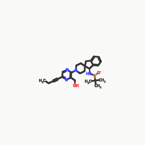 CCC#Cc1cnc(N2CCC3(CC2)Cc2ccccc2[C@H]3N[S+]([O-])C(C)(C)C)c(CO)n1